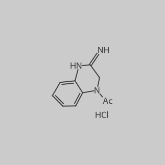 CC(=O)N1CC(=N)Nc2ccccc21.Cl